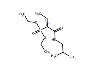 C/C=C(/C(=O)NCC(C)C)P(=O)(OCC)OCC